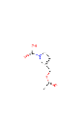 CC(=O)OCC1=CCN(C(=O)O)C1